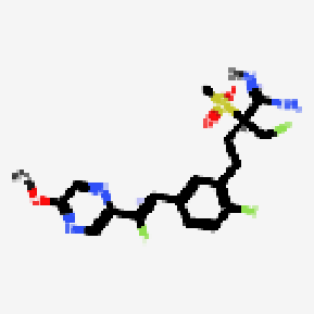 CCCOc1cnc(/C(F)=C/c2ccc(F)c(CC[C@](CF)(/C(N)=N\CC)S(C)(=O)=O)c2)cn1